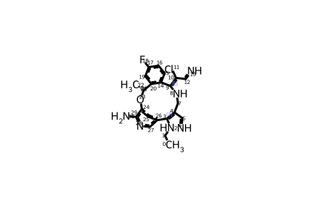 CCN/C1=C(\C=N)CN/C(=C(/Cl)C=N)c2ccc(F)cc2[C@@H](C)Oc2cc1cnc2N